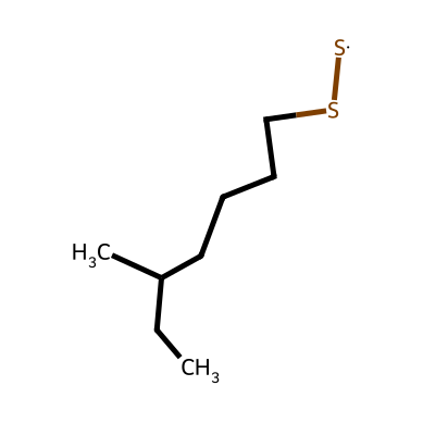 CCC(C)CCCCS[S]